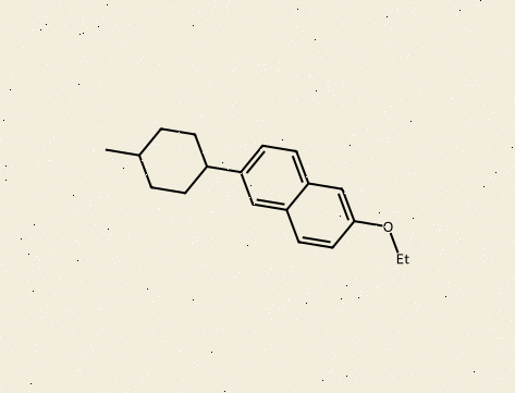 CCOc1ccc2cc(C3CCC(C)CC3)ccc2c1